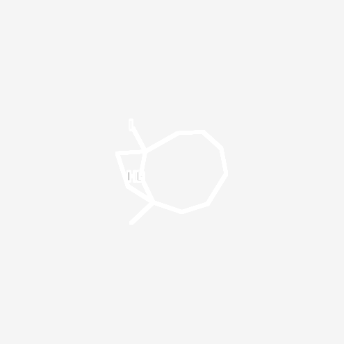 CC12BC(I)(CCCCCC1)CC2